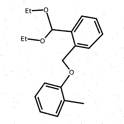 CCOC(OCC)c1ccccc1COc1ccccc1C